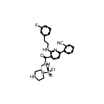 CCS(=O)(=O)N1CCNC[C@@H]1CNC(=O)c1ccc(-c2ccccc2C#N)nc1NCCc1cccc(F)c1